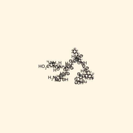 CCCC[C@@]1(O)C(=O)OCc2c1cc1n(c2=O)Cc2c-1nc1cc(F)c(C)c3c1c2[C@@H](NC(=O)COCNC(=O)CNC(=O)[C@H](Cc1ccccc1)NC(=O)CNC(=O)CNC(=O)[C@H](CCC(=O)NC[C@H]1O[C@@H](CC(N)=O)[C@H](O)C1O)NC(=O)CCNC(=O)CNC(=O)CC(C(=O)O)C(C)N)CC3